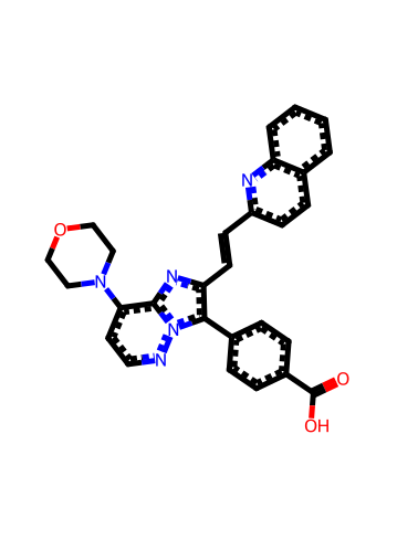 O=C(O)c1ccc(-c2c(/C=C/c3ccc4ccccc4n3)nc3c(N4CCOCC4)ccnn23)cc1